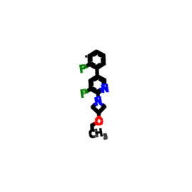 CCOC1CN(c2ncc(-c3ccc[c]c3F)cc2F)C1